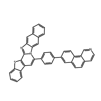 c1ccc2cc3c(cc2c1)nc1c2sc4ccccc4c2cc(-c2ccc(-c4ccc5c(ccc6ccncc65)c4)cc2)n31